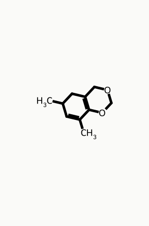 CC1=CC(C)CC2=C1OCOC2